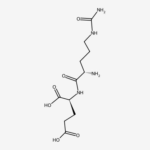 NC(=O)NCCC[C@H](N)C(=O)N[C@@H](CCC(=O)O)C(=O)O